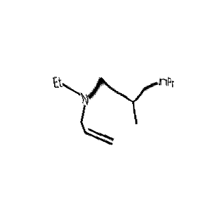 C=CN(CC)CC(C)CCC